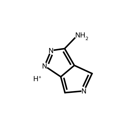 NC1=C2C=NC=C2N=N1.[H+]